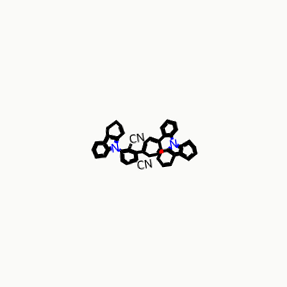 N#Cc1ccc(-n2c3c(c4ccccc42)CCC=C3)c(C#N)c1C1=CC=C(c2ccccc2-n2c3c(c4ccccc42)C=CCC3)C=CC1